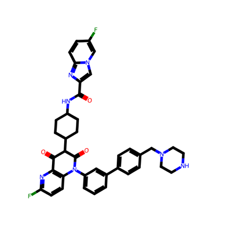 O=C(NC1CCC(C2C(=O)c3nc(F)ccc3N(c3cccc(-c4ccc(CN5CCNCC5)cc4)c3)C2=O)CC1)c1cn2cc(F)ccc2n1